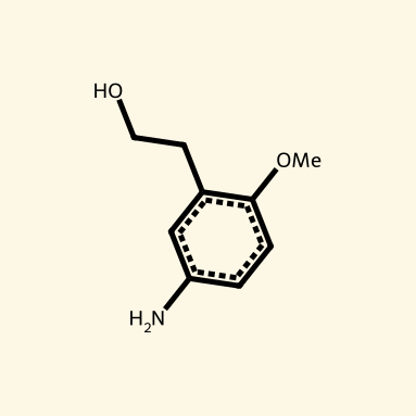 COc1ccc(N)cc1CCO